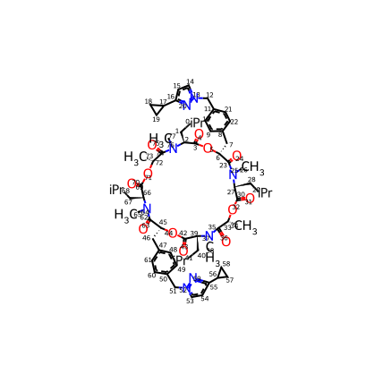 CC(C)C[C@H]1C(=O)O[C@H](Cc2ccc(Cn3ccc(C4CC4)n3)cc2)C(=O)N(C)[C@@H](CC(C)C)C(=O)O[C@H](C)C(=O)N(C)[C@@H](CC(C)C)C(=O)O[C@H](Cc2ccc(Cn3ccc(C4CC4)n3)cc2)C(=O)N(C)[C@@H](CC(C)C)C(=O)O[C@H](C)C(=O)N1C